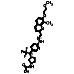 COCCOc1ccc2ccc(/C=N/Nc3ccc([C@@H](N4CC[C@H](NC(=O)O)C4)C(F)(F)F)cn3)nc2c1C